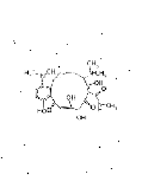 CNC(=O)/C1=C(\O)[C@@H](N(C)C)CCCCc2c(N(C)C)ccc(O)c2C(=O)/C=C(\O)I(O)C1=O